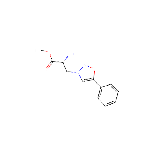 COC(=O)[C@@H](N)CN1C=C(c2ccccc2)ON1